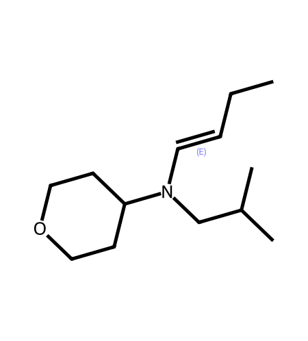 CC/C=C/N(CC(C)C)C1CCOCC1